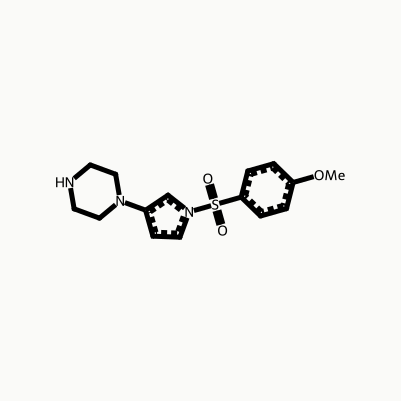 COc1ccc(S(=O)(=O)n2ccc(N3CCNCC3)c2)cc1